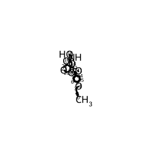 CC#CCOc1ccc(S(=O)(=O)CC2(OC(=O)NO)CCOCC2)cc1